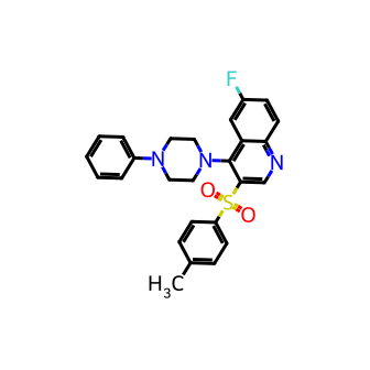 Cc1ccc(S(=O)(=O)c2cnc3ccc(F)cc3c2N2CCN(c3ccccc3)CC2)cc1